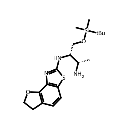 C[C@H](N)[C@@H](CO[Si](C)(C)C(C)(C)C)Nc1nc2c3c(ccc2s1)CCO3